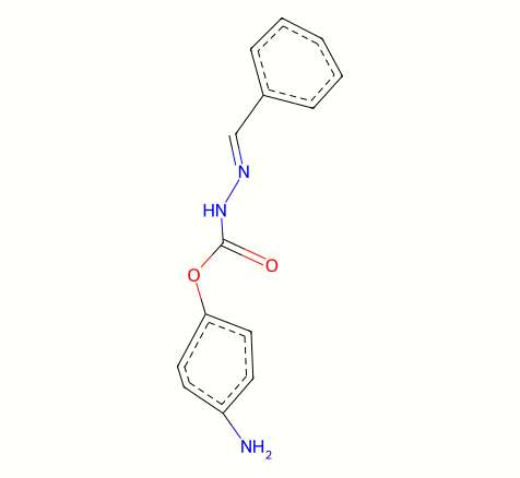 Nc1ccc(OC(=O)N/N=C/c2ccccc2)cc1